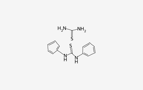 NC(N)=S.S=C(Nc1ccccc1)Nc1ccccc1